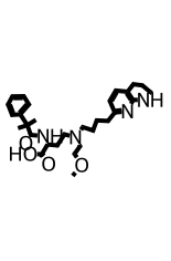 COCCN(CCCCc1ccc2c(n1)NCCC2)CCC(NC(=O)C(C)(C)c1ccccc1)C(=O)O